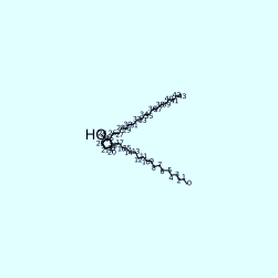 CCCCCCCCCCCCCCCCCCc1c(C)ccc(O)c1CCCCCCCCCCCCCCCCCC